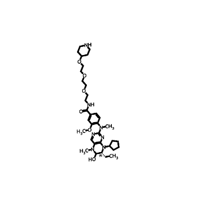 CC[C@@H]1C(O)N(C)c2cnc(N(C)c3ccc(C(=O)NCCOCCOCCOC4CCNCC4)cc3OC)nc2N1C1CCCC1